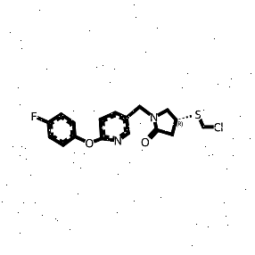 O=C1C[C@@H](SCCl)CN1Cc1ccc(Oc2ccc(F)cc2)nc1